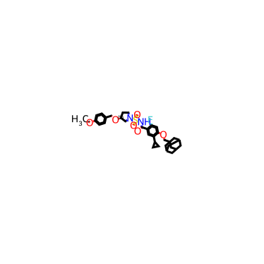 COc1ccc(CO[C@H]2CCN(S(=O)(=O)NC(=O)c3cc(C4CC4)c(OCC45CC6CC(CC(C6)C4)C5)cc3F)C2)cc1